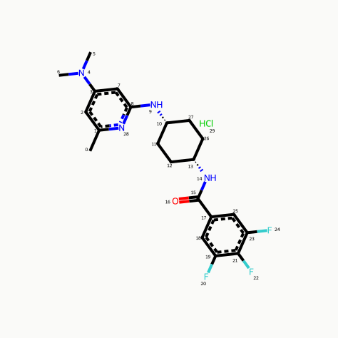 Cc1cc(N(C)C)cc(N[C@H]2CC[C@@H](NC(=O)c3cc(F)c(F)c(F)c3)CC2)n1.Cl